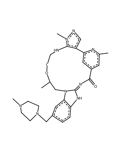 Cc1cc2cc(n1)-c1cnn(C)c1NCCOC(C)CN1/C(=N/C2=O)Nc2ccc(CN3CCN(C)CC3)cc21